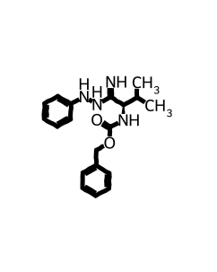 CC(C)[C@@H](NC(=O)OCc1ccccc1)C(=N)NNc1ccccc1